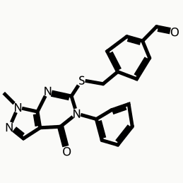 Cn1ncc2c(=O)n(-c3ccccc3)c(SCc3ccc(C=O)cc3)nc21